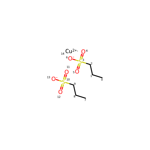 CCCS(=O)(=O)[O-].CCCS(=O)(=O)[O-].[Cu+2]